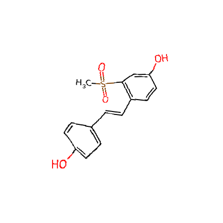 CS(=O)(=O)c1cc(O)ccc1/C=C/c1ccc(O)cc1